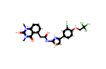 Cn1c(=O)c2c(CC(=O)Nc3nc(-c4ccc(OCC(F)(F)F)c(F)c4)cs3)cccc2n(C)c1=O